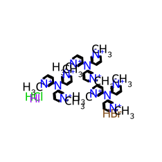 Br.C[n+]1cccc(N(c2ccc[n+](C)c2)c2ccc[n+](C)c2)c1.C[n+]1cccc(N(c2ccc[n+](C)c2)c2ccc[n+](C)c2)c1.C[n+]1cccc(N(c2ccc[n+](C)c2)c2ccc[n+](C)c2)c1.Cl.I